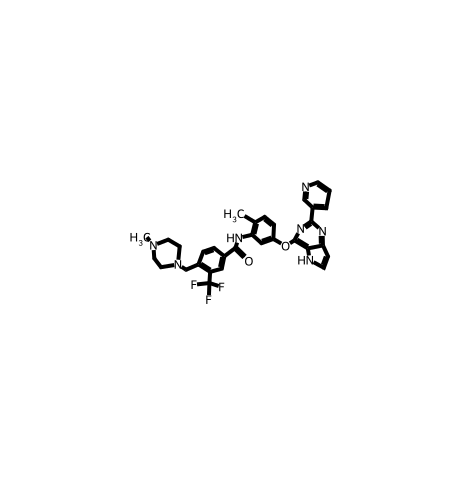 Cc1ccc(Oc2nc(-c3cccnc3)nc3cc[nH]c23)cc1NC(=O)c1ccc(CN2CCN(C)CC2)c(C(F)(F)F)c1